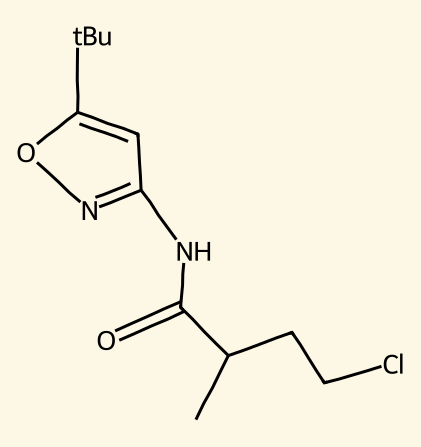 CC(CCCl)C(=O)Nc1cc(C(C)(C)C)on1